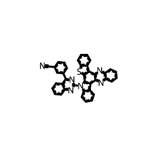 N#Cc1cccc(-c2nc(-n3c4ccccc4c4c5nc6ccccc6nc5c5c6ccccc6sc5c43)nc3ccccc23)c1